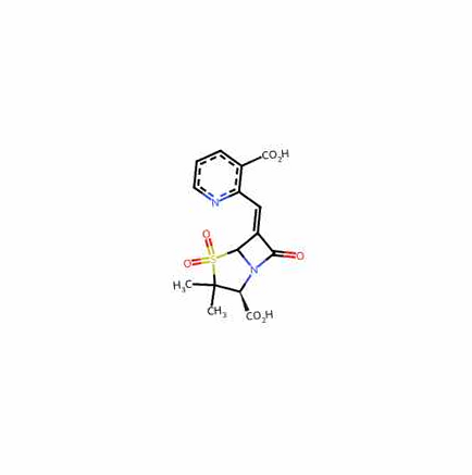 CC1(C)[C@H](C(=O)O)N2C(=O)/C(=C/c3ncccc3C(=O)O)C2S1(=O)=O